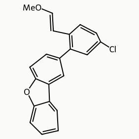 CO/C=C/c1ccc(Cl)cc1-c1ccc2oc3ccccc3c2c1